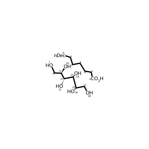 CCCCCCCCCCCCCCCC(=O)O.OC[C@@H](O)[C@@H](O)[C@H](O)[C@@H](O)CO